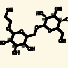 OCC1OC(OCC2OC(OCCS)[C@H](O)[C@@H](O)[C@@H]2O)[C@H](O)[C@@H](O)[C@@H]1O